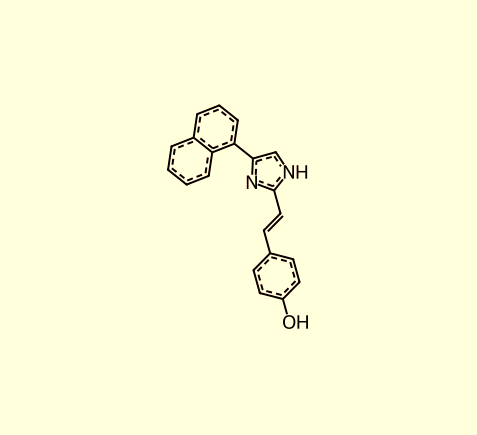 Oc1ccc(C=Cc2nc(-c3cccc4ccccc34)c[nH]2)cc1